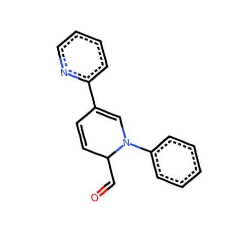 O=CC1C=CC(c2ccccn2)=CN1c1ccccc1